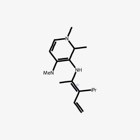 C=C/C(=C(\C)NC1=C(NC)C=CN(C)C1C)C(C)C